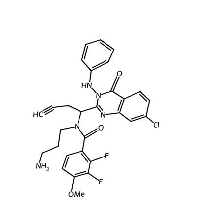 C#CCC(c1nc2cc(Cl)ccc2c(=O)n1Nc1ccccc1)N(CCCN)C(=O)c1ccc(OC)c(F)c1F